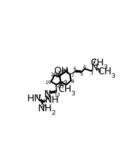 CN(C)CCC=C[C@H]1CC[C@]2(C)[C@@H](C=NNC(=N)N)CC[C@]2(O)C1